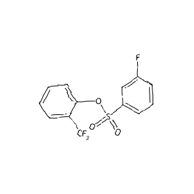 O=S(=O)(Oc1ccccc1C(F)(F)F)c1cccc(F)c1